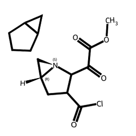 C1CC2CC2C1.COC(=O)C(=O)C1C(C(=O)Cl)C[C@@H]2C[N@@]12